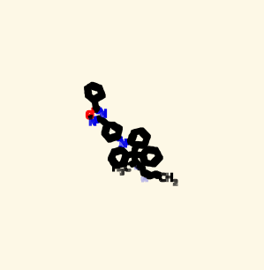 C=C/C=C\C=C(/C)C1(c2ccccc2)c2ccccc2N(c2ccc(-c3noc(-c4ccccc4)n3)cc2)c2ccccc21